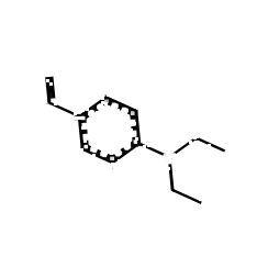 CCN(CC)c1ccc([C]=S)cc1